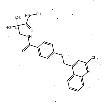 Cc1cc(COc2ccc(C(=O)NC[C@@](C)(O)C(=O)NO)cc2)c2ccccc2n1